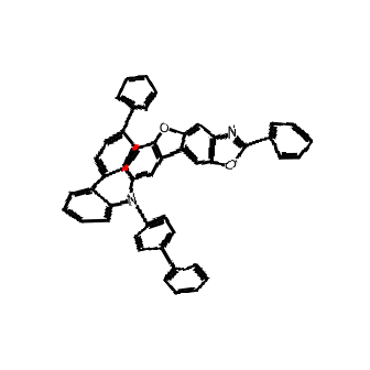 c1ccc(-c2ccc(-c3ccccc3N(c3ccc(-c4ccccc4)cc3)c3ccc4oc5cc6nc(-c7ccccc7)oc6cc5c4c3)cc2)cc1